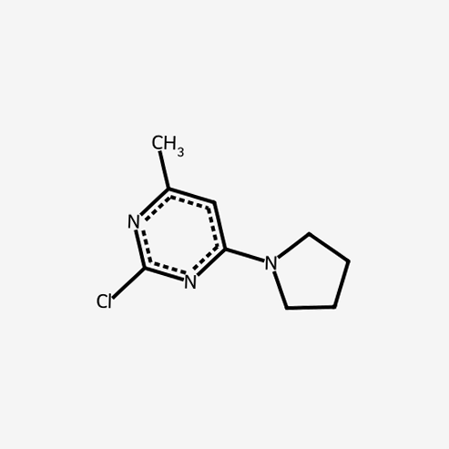 Cc1cc(N2CCCC2)nc(Cl)n1